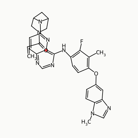 C=CC(=O)N1CC2CC(C1)N2c1ccc2ncnc(Nc3ccc(Oc4ccc5c(c4)ncn5C)c(C)c3F)c2n1